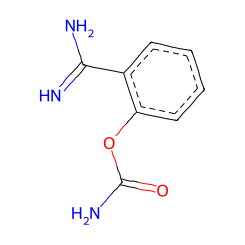 N=C(N)c1ccccc1OC(N)=O